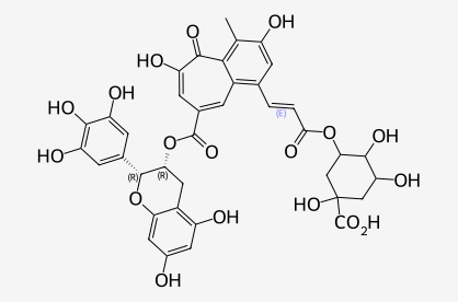 Cc1c(O)cc(/C=C/C(=O)OC2CC(O)(C(=O)O)CC(O)C2O)c2cc(C(=O)O[C@@H]3Cc4c(O)cc(O)cc4O[C@@H]3c3cc(O)c(O)c(O)c3)cc(O)c(=O)c12